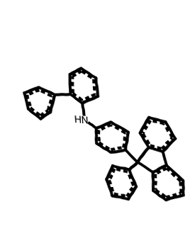 c1ccc(-c2ccccc2Nc2ccc(C3(c4ccccc4)c4ccccc4-c4ccccc43)cc2)cc1